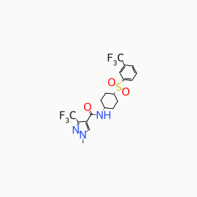 Cn1cc(C(=O)N[C@H]2CC[C@@H](S(=O)(=O)c3cccc(C(F)(F)F)c3)CC2)c(C(F)(F)F)n1